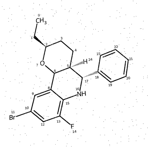 CC[C@H]1CC[C@@H]2C(O1)c1cc(Br)cc(F)c1N[C@H]2c1ccccc1